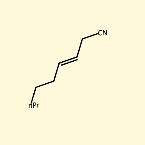 CCCCCC=C[CH]C#N